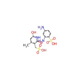 Cc1cc(O)[nH]c(=O)c1CS(=O)(=O)O.Nc1ccc(S(=O)(=O)O)c(N)c1